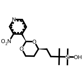 CC(C)(CC[C@H]1CCO[C@@H](c2ccncc2[N+](=O)[O-])O1)[Si](C)(C)O